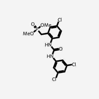 COP(=O)(Cc1cc(Cl)ccc1NC(=O)Nc1cc(Cl)cc(Cl)c1)OC